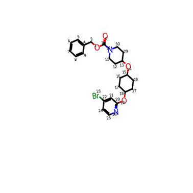 O=C(OCc1ccccc1)N1CCC(OC2CCC(Oc3cc(Br)ccn3)CC2)CC1